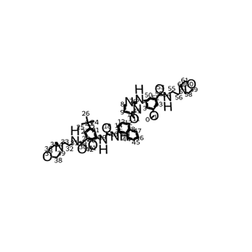 COc1cc(Nc2nccc(Oc3ccc(NC(=O)Nc4cc(C(C)(C)C)cc(C(=O)NCCN5CCOCC5)c4OC)c4ccccc34)n2)cc(C(=O)NCCN2CCOCC2)c1